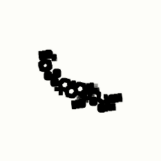 CC(=O)OC(C1C[C@@H](C)[C@H]2C(O1)[C@H](O)[C@@]1(C)C3CCC4C(C)(C)C(OC(=O)Oc5ccc([N+](=O)[O-])cc5)CCC45CC35CCC21C)C(C)(C)O